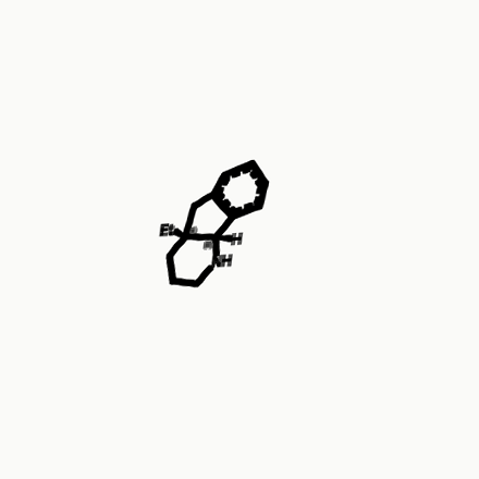 CC[C@]12CCCN[C@H]1c1ccccc1C2